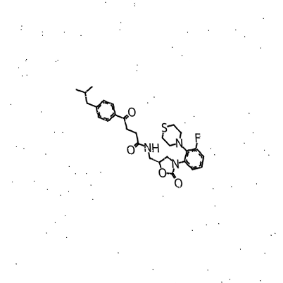 CC(C)Cc1ccc(C(=O)CCC(=O)NC[C@H]2CN(c3cccc(F)c3N3CCSCC3)C(=O)O2)cc1